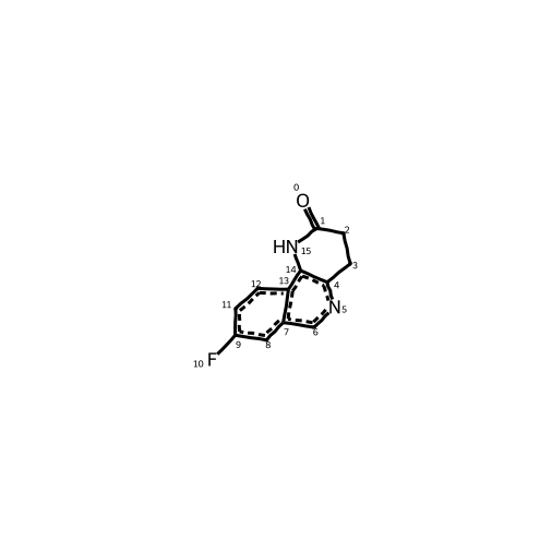 O=C1CCc2ncc3cc(F)ccc3c2N1